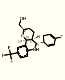 OC[C@H]1CC[C@@H]2[C@H](O1)c1cc(C(F)(F)F)ccc1N[C@H]2C1C=CC(F)=CC1